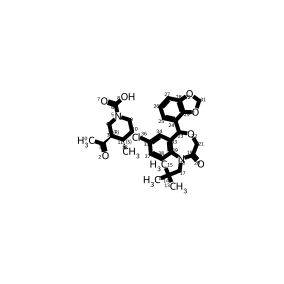 CC(=O)[C@H]1CN(C(=O)O)CC[C@@H]1C.CC(C)(C)CN1C(=O)COC(c2cccc3c2OCO3)c2cc(Cl)ccc21